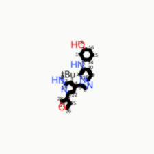 CC(C)(C)Nc1cc(-c2cnc3ccc(NC4CCCC(O)C4)cn23)cc(-c2ccoc2)n1